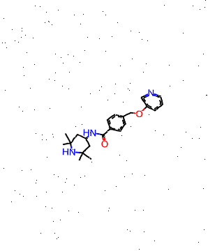 CC1(C)CC(NC(=O)c2ccc(COc3cccnc3)cc2)CC(C)(C)N1